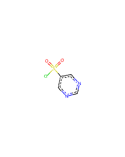 O=S(=O)(Cl)c1cncnc1